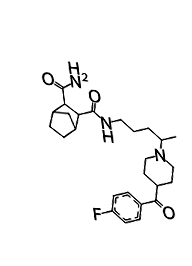 CC(CCCNC(=O)C1C2CCC(C2)C1C(N)=O)N1CCC(C(=O)c2ccc(F)cc2)CC1